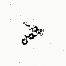 COCCOc1ncc2[nH]c(=O)n(Cc3ccc(C(C)N4CCCCC4)cc3)c2n1